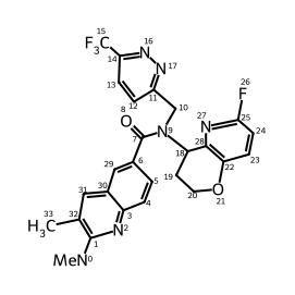 CNc1nc2ccc(C(=O)N(Cc3ccc(C(F)(F)F)nn3)C3CCOc4ccc(F)nc43)cc2cc1C